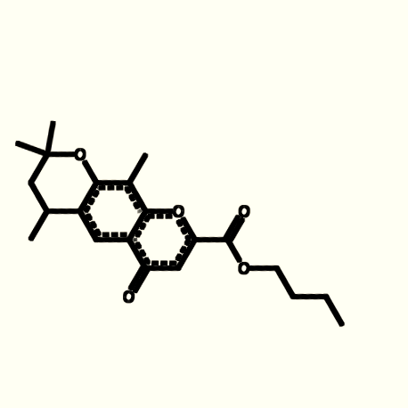 CCCCOC(=O)c1cc(=O)c2cc3c(c(C)c2o1)OC(C)(C)CC3C